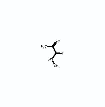 C=C(C)C(F)NC